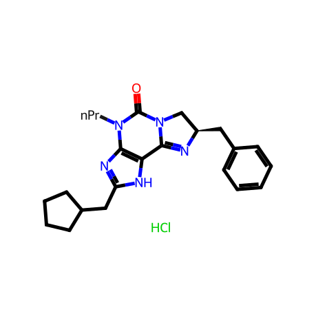 CCCN1C(=O)N2C[C@@H](Cc3ccccc3)N=C2c2[nH]c(CC3CCCC3)nc21.Cl